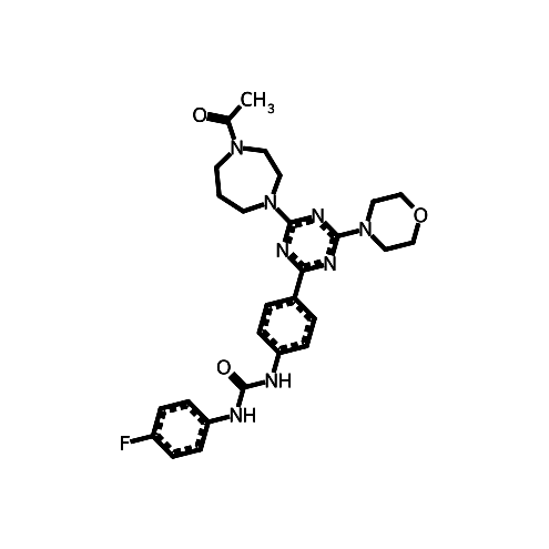 CC(=O)N1CCCN(c2nc(-c3ccc(NC(=O)Nc4ccc(F)cc4)cc3)nc(N3CCOCC3)n2)CC1